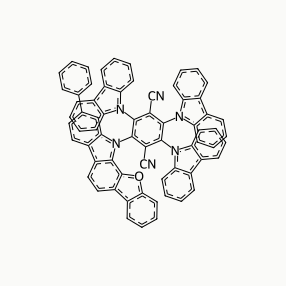 N#Cc1c(-n2c3ccccc3c3ccccc32)c(-n2c3ccccc3c3ccccc32)c(C#N)c(-n2c3cc(-c4ccccc4)ccc3c3ccc4c5ccccc5oc4c32)c1-n1c2ccccc2c2ccccc21